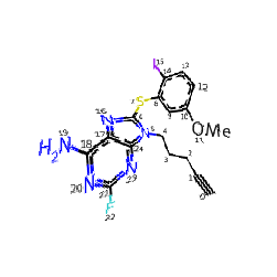 C#CCCCn1c(Sc2cc(OC)ccc2I)nc2c(N)nc(F)nc21